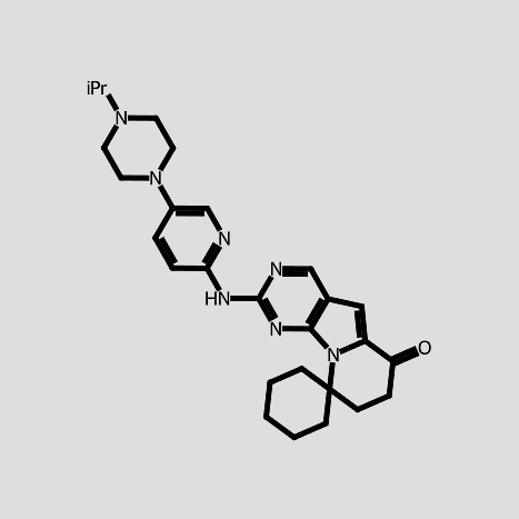 CC(C)N1CCN(c2ccc(Nc3ncc4cc5n(c4n3)C3(CCCCC3)CCC5=O)nc2)CC1